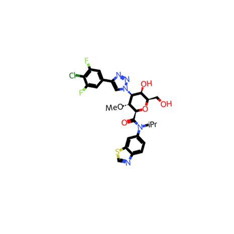 CO[C@@H]1[C@@H](n2cc(-c3cc(F)c(Cl)c(F)c3)nn2)[C@@H](O)[C@@H](CO)O[C@H]1C(=O)N(c1ccc2ncsc2c1)C(C)C